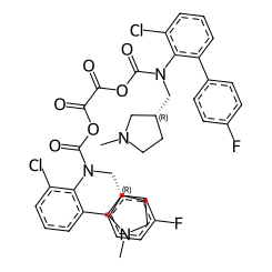 CN1CC[C@@H](CN(C(=O)OC(=O)C(=O)OC(=O)N(C[C@@H]2CCN(C)C2)c2c(Cl)cccc2-c2ccc(F)cc2)c2c(Cl)cccc2-c2ccc(F)cc2)C1